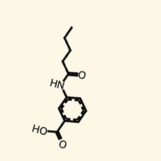 CCCCC(=O)Nc1cccc(C(=O)O)c1